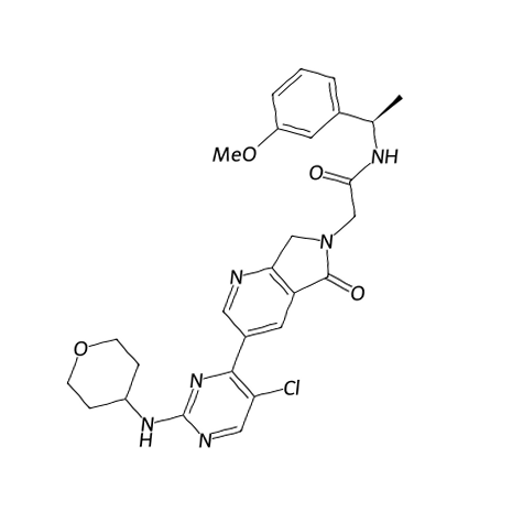 COc1cccc([C@@H](C)NC(=O)CN2Cc3ncc(-c4nc(NC5CCOCC5)ncc4Cl)cc3C2=O)c1